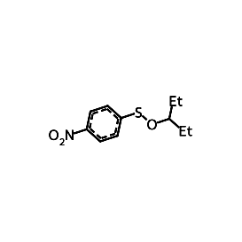 CCC(CC)OSc1ccc([N+](=O)[O-])cc1